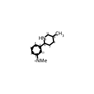 CNc1cccc(C2CCC(C)CN2)c1